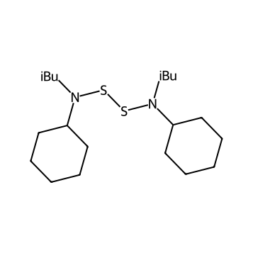 CCC(C)N(SSN(C(C)CC)C1CCCCC1)C1CCCCC1